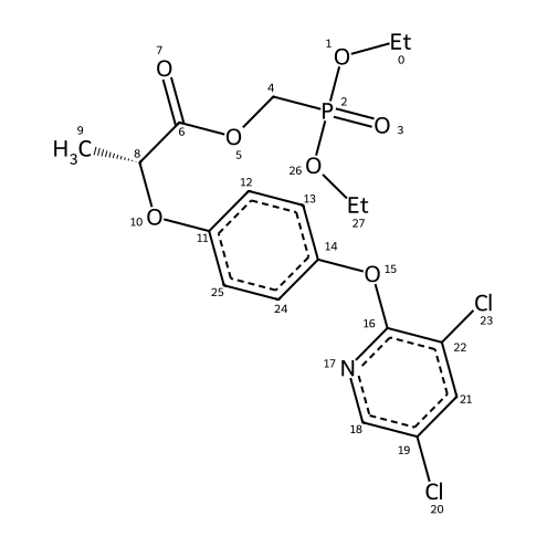 CCOP(=O)(COC(=O)[C@@H](C)Oc1ccc(Oc2ncc(Cl)cc2Cl)cc1)OCC